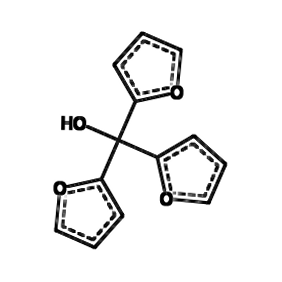 OC(c1ccco1)(c1ccco1)c1ccco1